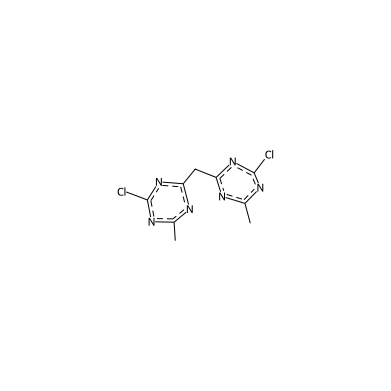 Cc1nc(Cl)nc(Cc2nc(C)nc(Cl)n2)n1